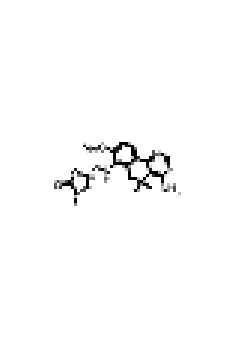 COc1ccc2c(c1NC[C@@H]1CNC(=O)O1)CC(C)(C)c1c(N)ncnc1-2